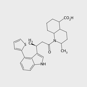 CC1CCC2C(C(=O)O)CCCC2N1C(=O)C[C@H](C)c1c[nH]c2cccc(-c3cccs3)c12